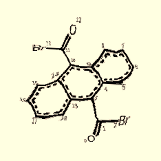 O=C(Br)c1c2ccccc2c(C(=O)Br)c2ccccc12